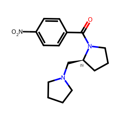 O=C(c1ccc([N+](=O)[O-])cc1)N1CCC[C@H]1CN1CCCC1